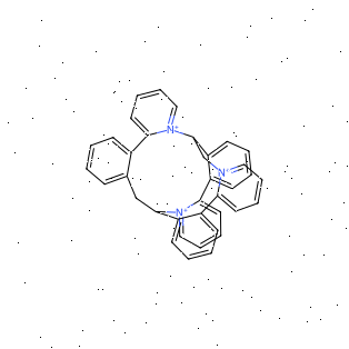 c1ccc2c(c1)CC1c3ccccc3-c3cccc[n+]3CC(c3ccccc3-c3cccc[n+]31)[n+]1ccccc1-2